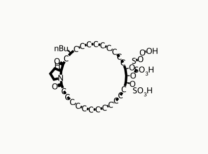 CCCC[C@H]1CCCCCCCCC[C@H](OSOOO)[C@H](OS(=O)(=O)O)[C@@H](OS(=O)(=O)O)CCCCCCCCCCCCC(=O)N2CCC[C@H]2C(=O)C1